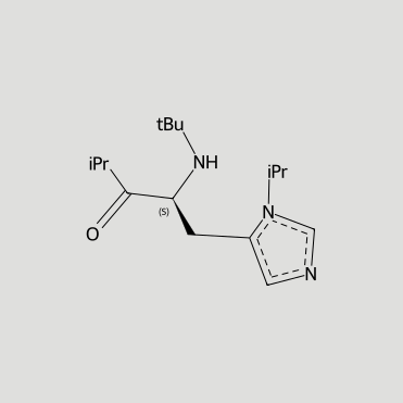 CC(C)C(=O)[C@H](Cc1cncn1C(C)C)NC(C)(C)C